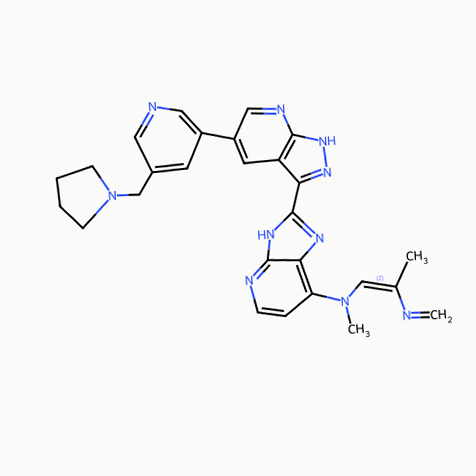 C=N/C(C)=C\N(C)c1ccnc2[nH]c(-c3n[nH]c4ncc(-c5cncc(CN6CCCC6)c5)cc34)nc12